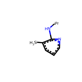 CC(C)Nc1ncccc1[SiH3]